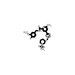 COc1cc(CNC(=O)c2cc(-c3nnn(C[C@H]4CCCN(S(C)(=O)=O)C4)n3)cc(C)n2)ccc1F